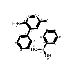 Nc1nnc(Cl)cc1-c1ccccc1.OB(O)c1ccccc1